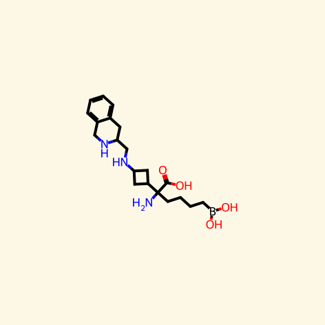 NC(CCCCB(O)O)(C(=O)O)C1CC(NCC2Cc3ccccc3CN2)C1